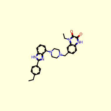 CCc1ccc(-c2nc3c(N4CCN(Cc5ccc6[nH]c(=O)c(=O)n(CC)c6c5)CC4)cccc3[nH]2)cc1